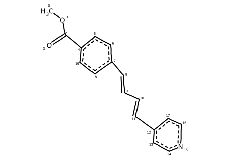 COC(=O)c1ccc(/C=C/C=C/c2ccncc2)cc1